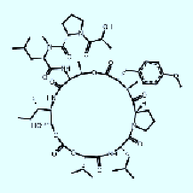 CC[C@H](C)[C@H]1NC(=O)[C@@H](NC(=O)[C@@H](CC(C)C)N(C)C(=O)[C@@H]2CCCN2C(=O)[C@H](C)O)[C@@H](C)OC(=O)[C@H](Cc2ccc(OC)cc2)N(C)C(=O)[C@@H]2CCCN2C(=O)[C@H](CC(C)C)NC(=O)[C@H](C(C)C)OC(=O)C[C@@H]1O